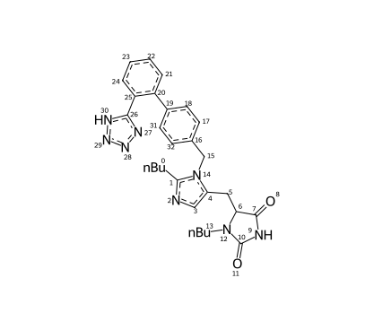 CCCCc1ncc(CC2C(=O)NC(=O)N2CCCC)n1Cc1ccc(-c2ccccc2-c2nnn[nH]2)cc1